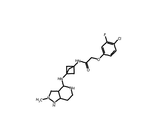 CN1CC2C(CCNC2NC23CC(NC(=O)COc4ccc(Cl)c(F)c4)(C2)C3)N1